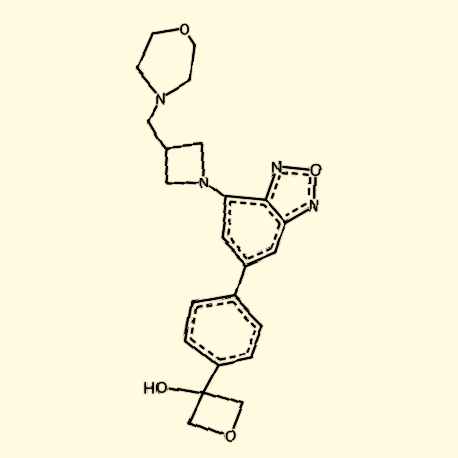 OC1(c2ccc(-c3cc(N4CC(CN5CCOCC5)C4)c4nonc4c3)cc2)COC1